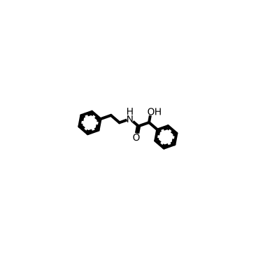 O=C(NCCc1ccccc1)C(O)c1ccccc1